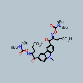 CCCCN(CCCC)C(=O)O/N=C(\CCC(=O)O)C(=O)c1ccc2c(c1)c1cc(C(=O)/C(CCC(=O)O)=N/OC(=O)N(CCCC)CCCC)ccc1n2C